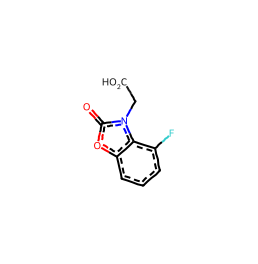 O=C(O)Cn1c(=O)oc2cccc(F)c21